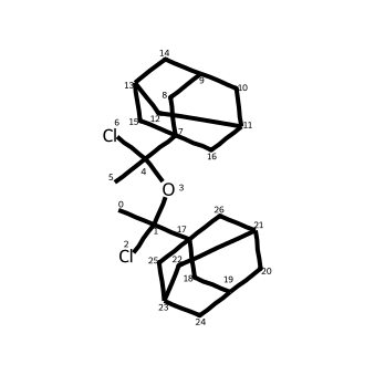 CC(Cl)(OC(C)(Cl)C12CC3CC(CC(C3)C1)C2)C12CC3CC(CC(C3)C1)C2